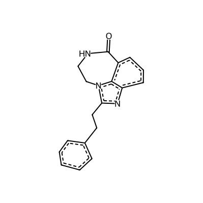 O=C1NCCn2c(CCc3ccccc3)nc3cccc1c32